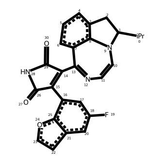 CC(C)C1Cc2cccc3c2N1C=CN=C3C1=C(c2cc(F)cc3ccoc23)C(=O)NC1=O